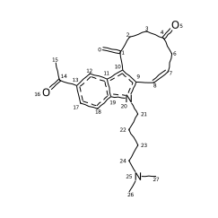 C=C1CCC(=O)C/C=C\c2c1c1cc(C(C)=O)ccc1n2CCCCN(C)C